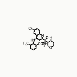 O=C(O)c1cccc(C(F)(F)F)c1Nc1cc(S(=O)(=O)C2COCCN2)nc2ccc(Cl)cc12